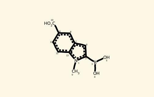 Cn1c(B(O)O)cc2cc(C(=O)O)ccc21